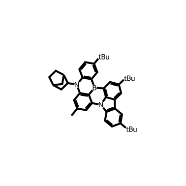 Cc1cc2c3c(c1)-n1c4ccc(C(C)(C)C)cc4c4cc(C(C)(C)C)cc(c41)B3c1cc(C(C)(C)C)ccc1N2C1CC2CCC1C2